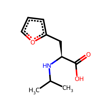 CC(C)N[C@@H](Cc1ccco1)C(=O)O